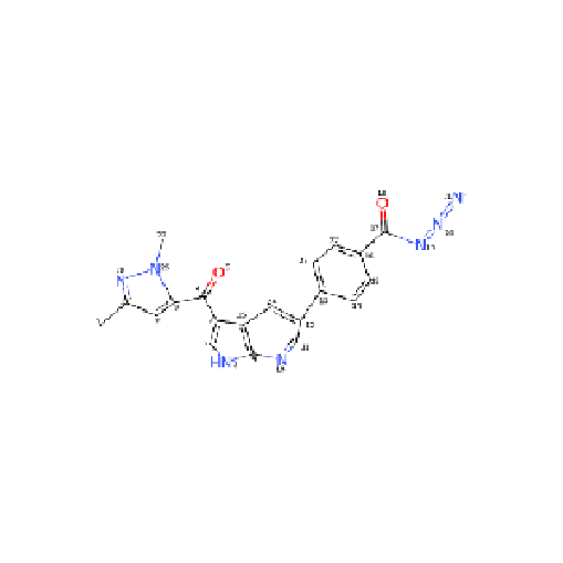 Cc1cc(C(=O)c2c[nH]c3ncc(-c4ccc(C(=O)N=[N+]=[N-])cc4)cc23)n(C)n1